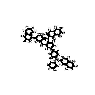 c1ccc(N(c2ccc(-c3ccc4c(c3)Cc3cc(-c5cccc6ccccc56)ccc3N4c3ccc4ccccc4c3)cc2)c2ccc3ccccc3c2)cc1